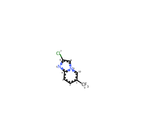 FC(F)(F)c1ccc2nc(Cl)cn2c1